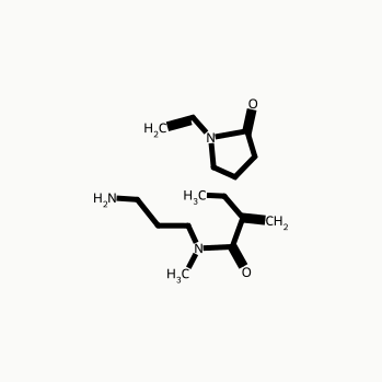 C=C(CC)C(=O)N(C)CCCN.C=CN1CCCC1=O